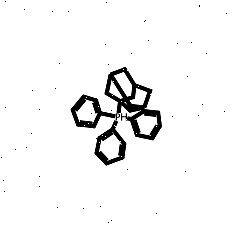 c1ccc([PH](c2ccccc2)(c2ccccc2)C23CC4CC(CC(C4)C2)C3)cc1